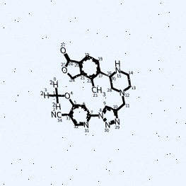 [2H]C([2H])([2H])Oc1cc(-n2cc(CN3CCN[C@H](c4ccc5c(c4C)COC5=O)C3)nn2)ncc1C#N